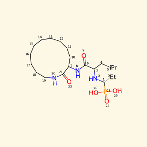 CC[C@@H](NC(CC(C)C)C(=O)NC1CCCCCCCCCCNC1=O)P(=O)(O)O